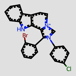 Clc1ccc(-n2c[n+]3ccc4c5ccccc5[nH]c4c3c2-c2ccccc2Br)cc1